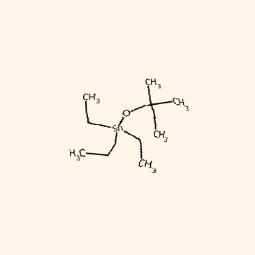 C[CH2][Sn]([CH2]C)([CH2]C)[O]C(C)(C)C